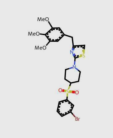 COc1cc(Cc2csc(N3CCC(S(=O)(=O)c4cccc(Br)c4)CC3)n2)cc(OC)c1OC